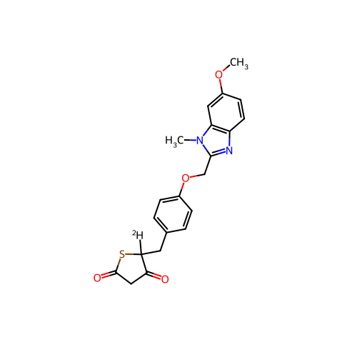 [2H]C1(Cc2ccc(OCc3nc4ccc(OC)cc4n3C)cc2)SC(=O)CC1=O